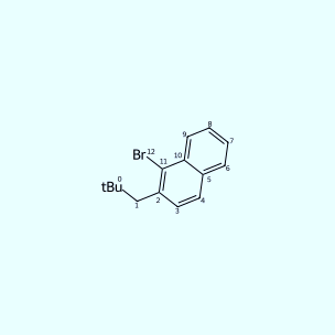 CC(C)(C)Cc1ccc2ccccc2c1Br